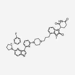 Cn1c(=O)n(C2CCC(=O)NC2=O)c2cccc(CCCN3CCN(c4cccc(-c5cnc6ccc(N7CCC[C@@H]7c7cccc(F)c7)nn56)n4)CC3)c21